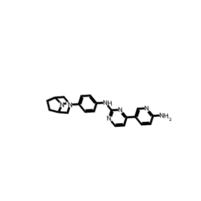 CN1C2CCC1CN(c1ccc(Nc3nccc(-c4ccc(N)nc4)n3)cc1)C2